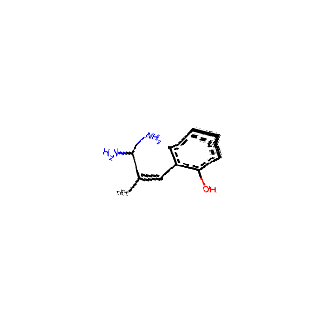 CCCC(=Cc1ccccc1O)C(N)N